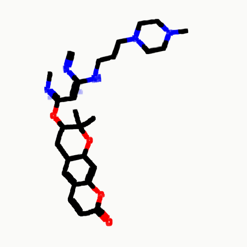 C=N/C(=C\C(=N/C)OC1CC2C=c3ccc(=O)oc3=CC2OC1(C)C)NCCCN1CCN(C)CC1